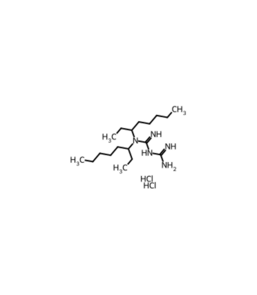 CCCCCC(CC)N(C(=N)NC(=N)N)C(CC)CCCCC.Cl.Cl